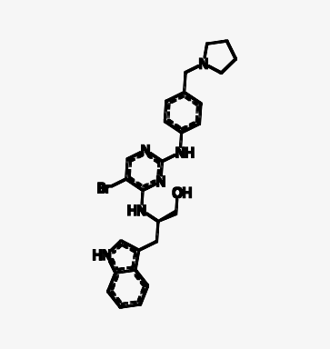 OC[C@@H](Cc1c[nH]c2ccccc12)Nc1nc(Nc2ccc(CN3CCCC3)cc2)ncc1Br